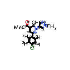 [2H]c1c([2H])c(C2=NN(c3cnn(C)c3)C(C=O)C(C(=O)OC)=C2)c([2H])c([2H])c1Cl